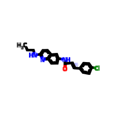 CCCNc1ccc2cc(NC(=O)/C=C/c3ccc(Cl)cc3)ccc2n1